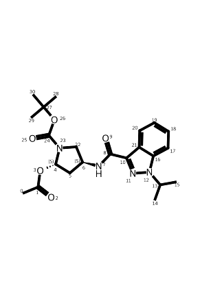 CC(=O)O[C@H]1C[C@H](NC(=O)c2nn(C(C)C)c3ccccc23)CN1C(=O)OC(C)(C)C